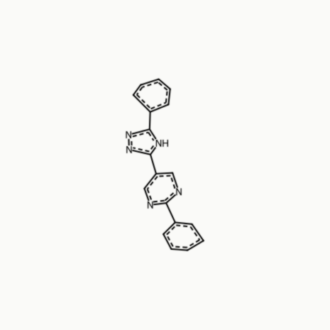 c1ccc(-c2ncc(-c3nnc(-c4ccccc4)[nH]3)cn2)cc1